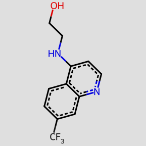 OCCNc1ccnc2cc(C(F)(F)F)ccc12